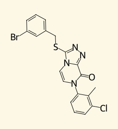 Cc1c(Cl)cccc1-n1ccn2c(SCc3cccc(Br)c3)nnc2c1=O